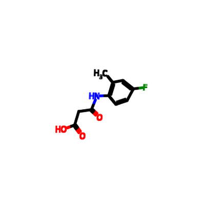 Cc1cc(F)ccc1NC(=O)CC(=O)O